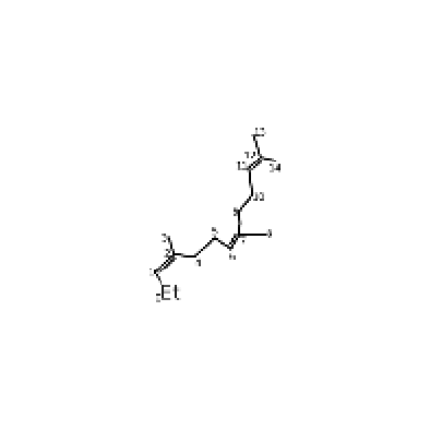 [C]CC=C(C)CCC=C(C)CCC=C(C)C